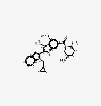 COc1cc(C(=O)N2C[C@H](N)CC[C@H]2C)cc2nc(-c3cc4cccnc4n3CC3CC3)n(C)c12